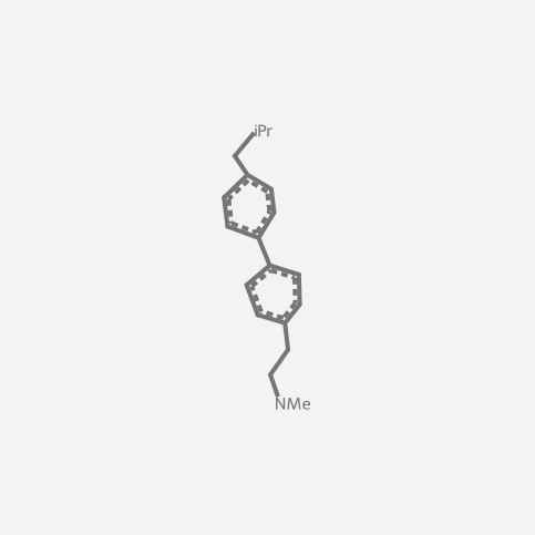 CNCCc1ccc(-c2ccc(CC(C)C)cc2)cc1